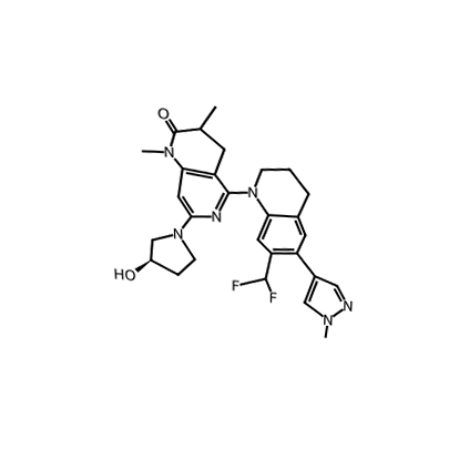 CC1Cc2c(cc(N3CC[C@@H](O)C3)nc2N2CCCc3cc(-c4cnn(C)c4)c(C(F)F)cc32)N(C)C1=O